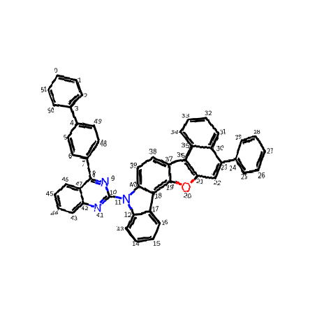 c1ccc(-c2ccc(-c3nc(-n4c5ccccc5c5c6oc7cc(-c8ccccc8)c8ccccc8c7c6ccc54)nc4ccccc34)cc2)cc1